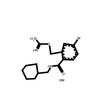 Br.N=C(N)SCc1cc(Br)ccc1C(=O)NCC1CCCCC1